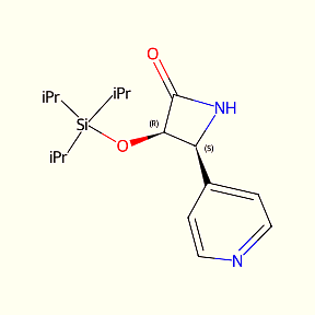 CC(C)[Si](O[C@H]1C(=O)N[C@H]1c1ccncc1)(C(C)C)C(C)C